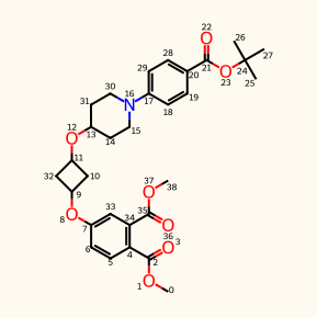 COC(=O)c1ccc(OC2CC(OC3CCN(c4ccc(C(=O)OC(C)(C)C)cc4)CC3)C2)cc1C(=O)OC